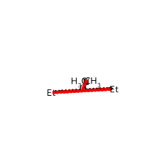 CCC=CCC=CCC=CCCCCCCCCC(CCCCCCCCC=CCC=CCC=CCC)OCCCN(C)C